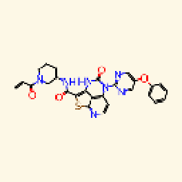 C=CC(=O)N1CCC[C@@H](NC(=O)c2sc3nccc4c3c2NC(=O)N4c2ncc(Oc3ccccc3)cn2)C1